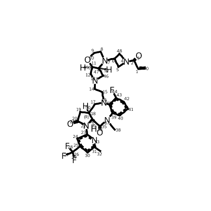 C=CC(=O)N1CC(N2CCO[C@@H]3CN(CCN4C[C@H]5CC(=O)N(c6cc(C(F)(F)F)cc(C)n6)[C@@H]5C(=O)N(C)c5cccc(F)c54)C[C@H]32)C1